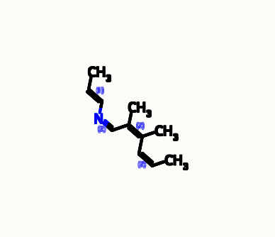 C\C=C/C(C)=C(C)\C=N/C=C/C